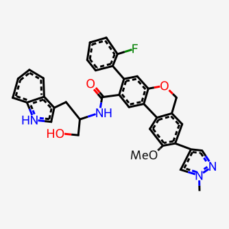 COc1cc2c(cc1-c1cnn(C)c1)COc1cc(-c3ccccc3F)c(C(=O)NC(CO)Cc3c[nH]c4ccccc34)cc1-2